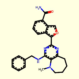 CN1CCCCc2nc(-c3occ4c(C(N)=O)cccc34)nc(NCc3ccccc3)c21